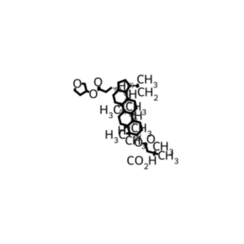 C=C(C)[C@@H]1CC[C@]2(CCC(=O)OC3CCOC3)CC[C@]3(C)[C@H](CC[C@@H]4[C@@]5(C)CC[C@H](OC(=O)CC(C)(C)C(=O)O)C(C)(C)[C@@H]5CC[C@]43C)[C@@H]12